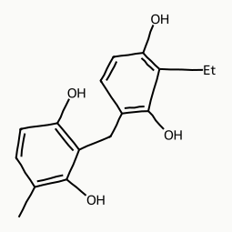 CCc1c(O)ccc(Cc2c(O)ccc(C)c2O)c1O